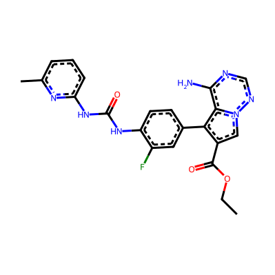 CCOC(=O)c1cn2ncnc(N)c2c1-c1ccc(NC(=O)Nc2cccc(C)n2)c(F)c1